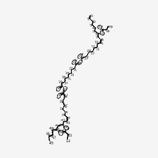 CCCCCCC(C/C=C\CCCCCCC(=O)OC(=O)CCCCCCCCC(=O)OC(=O)CCCCCC/C=C\CC(CCCCCC)OC(=O)CC)OC(=O)CC